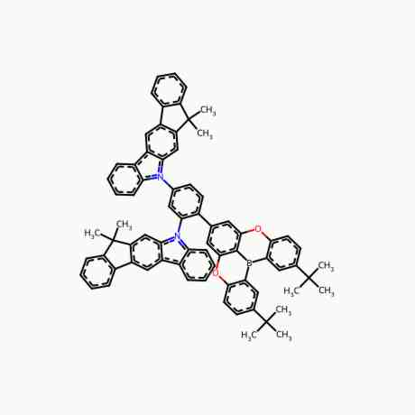 CC(C)(C)c1ccc2c(c1)B1c3cc(C(C)(C)C)ccc3Oc3cc(-c4ccc(-n5c6ccccc6c6cc7c(cc65)C(C)(C)c5ccccc5-7)cc4-n4c5ccccc5c5cc6c(cc54)C(C)(C)c4ccccc4-6)cc(c31)O2